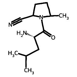 CC(C)C[C@H](N)C(=O)N1C(C)CCC1C#N